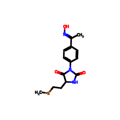 CSCCC1NC(=O)N(c2ccc(C(C)=NO)cc2)C1=O